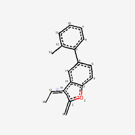 C=c1oc2ccc(-c3ccccc3C)cc2/c1=C/C